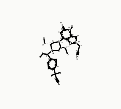 CCC(c1ccc(C(C)(C)C#N)cc1)N1C[C@H](CC)N(c2cc(=O)n(C)c3cn(CC#N)nc23)C[C@H]1CC